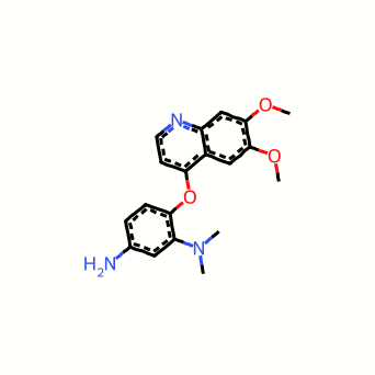 COc1cc2nccc(Oc3ccc(N)cc3N(C)C)c2cc1OC